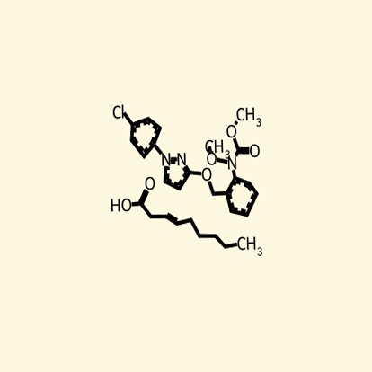 CCCCC/C=C/CC(=O)O.COC(=O)N(OC)c1ccccc1COc1ccn(-c2ccc(Cl)cc2)n1